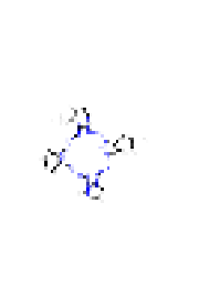 O=[N+]([O-])c1ccc2c3nc4nc(nc5[nH]c(nc6nc(nc([nH]3)c2c1[N+](=O)[O-])-c1ccccc1-6)c1ccccc51)-c1ccccc1-4.[Os+3]